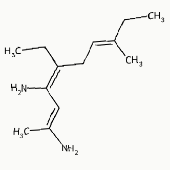 CC/C(C)=C/C/C(CC)=C(N)\C=C(/C)N